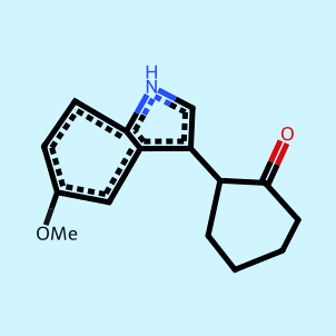 COc1ccc2[nH]cc(C3CCCCC3=O)c2c1